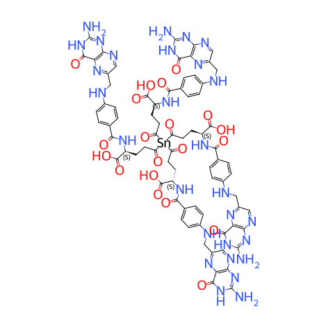 Nc1nc2ncc(CNc3ccc(C(=O)N[C@@H](CC[C](=O)[Sn]([C](=O)CC[C@H](NC(=O)c4ccc(NCc5cnc6nc(N)[nH]c(=O)c6n5)cc4)C(=O)O)([C](=O)CC[C@H](NC(=O)c4ccc(NCc5cnc6nc(N)[nH]c(=O)c6n5)cc4)C(=O)O)[C](=O)CC[C@H](NC(=O)c4ccc(NCc5cnc6nc(N)[nH]c(=O)c6n5)cc4)C(=O)O)C(=O)O)cc3)nc2c(=O)[nH]1